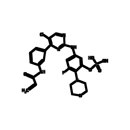 C=CC(=O)Nc1cccc(-c2nc(Nc3cc(F)c(N4CCOCC4)c(OP(=O)(O)O)c3)ncc2Cl)c1